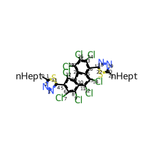 CCCCCCCc1nnc(-c2c(Cl)c(Cl)c3c(Cl)c(Cl)c4c(-c5nnc(CCCCCCC)s5)c(Cl)c(Cl)c(Cl)c4c3c2Cl)s1